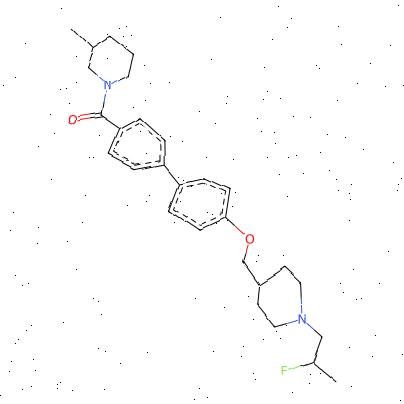 CC(F)CN1CCC(COc2ccc(-c3ccc(C(=O)N4CCCC(C)C4)cc3)cc2)CC1